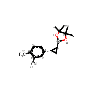 CC1(C)OB([C@H]2C[C@@H]2c2ccc(C(F)(F)F)c(C#N)c2)OC1(C)C